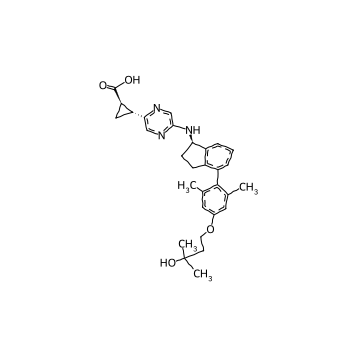 Cc1cc(OCCC(C)(C)O)cc(C)c1-c1cccc2c1CC[C@H]2Nc1cnc([C@@H]2C[C@H]2C(=O)O)cn1